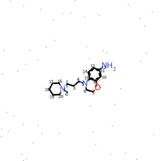 C[N+]1(CCCN2CCOc3cc(N)ccc32)CCCCC1